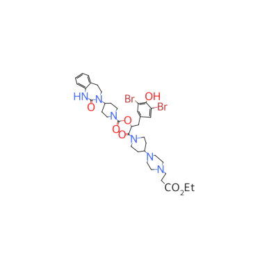 CCOC(=O)CCN1CCN(C2CCN(C(=O)C(Cc3cc(Br)c(O)c(Br)c3)OC(=O)N3CCC(N4CCc5ccccc5NC4=O)CC3)CC2)CC1